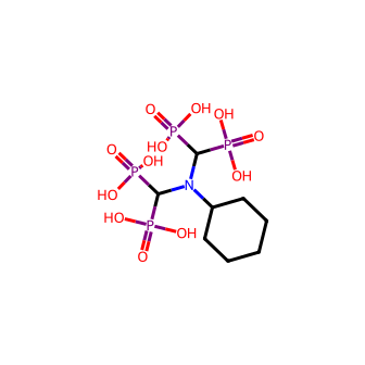 O=P(O)(O)C(N(C1CCCCC1)C(P(=O)(O)O)P(=O)(O)O)P(=O)(O)O